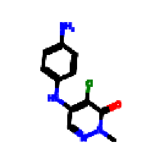 Cn1ncc(Nc2ccc(N)cc2)c(Cl)c1=O